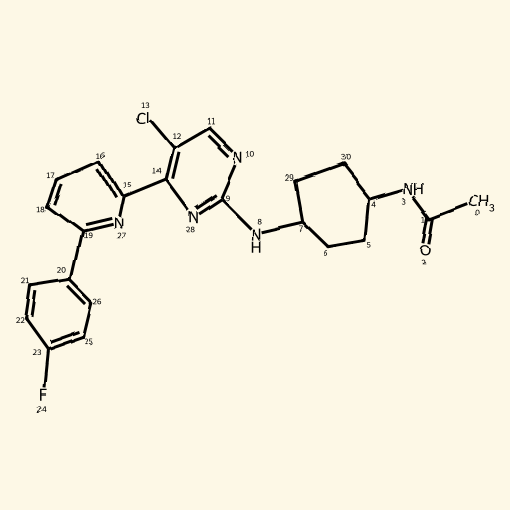 CC(=O)NC1CCC(Nc2ncc(Cl)c(-c3cccc(-c4ccc(F)cc4)n3)n2)CC1